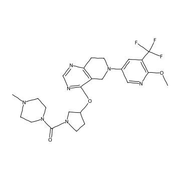 COc1ncc(N2CCc3ncnc(OC4CCN(C(=O)N5CCN(C)CC5)C4)c3C2)cc1C(F)(F)F